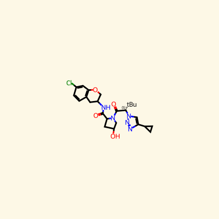 CC(C)(C)[C@@H](C(=O)N1CC(O)CC1C(=O)NC1COc2cc(Cl)ccc2C1)n1cc(C2CC2)nn1